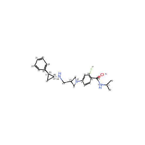 CC(C)NC(=O)c1ccc(N2CC(CN[C@@H]3C[C@H]3c3ccccc3)C2)cc1F